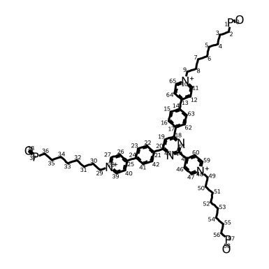 O=PCCCCCCCC[n+]1ccc(-c2ccc(-c3cc(-c4ccc(-c5cc[n+](CCCCCCCCP=O)cc5)cc4)nc(-c4cc[n+](CCCCCCCCP=O)cc4)n3)cc2)cc1